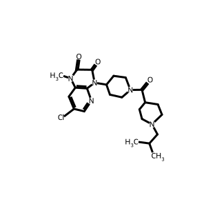 CC(C)CN1CCC(C(=O)N2CCC(n3c(=O)c(=O)n(C)c4cc(Cl)cnc43)CC2)CC1